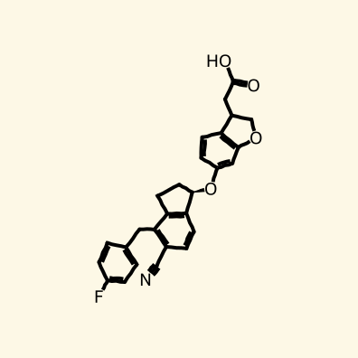 N#Cc1ccc2c(c1Cc1ccc(F)cc1)CC[C@H]2Oc1ccc2c(c1)OCC2CC(=O)O